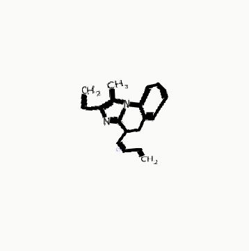 C=C/C=C\C1Cc2ccccc2-n2c1nc(C=C)c2C